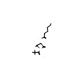 C=C1N2C(=O)[C@@H](NC(=O)CCCCC)[C@H]2SC1(C)C